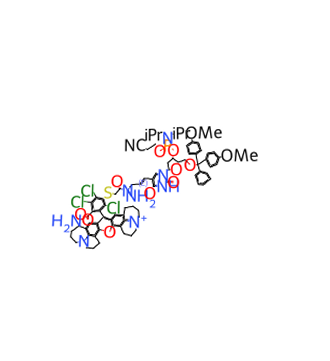 COc1ccc(C(OCC2OC(n3cc(/C=C/CN(N)C(=O)CSc4c(Cl)c(Cl)c(C(=O)ON)c(C5=c6cc7c8c(c6Oc6c5cc5c9c6CCCN9CCCC5)CCC[N+]=8CCCC7)c4Cl)c(=O)[nH]c3=O)CC2OP(OCCC#N)N(C(C)C)C(C)C)(c2ccccc2)c2ccc(OC)cc2)cc1